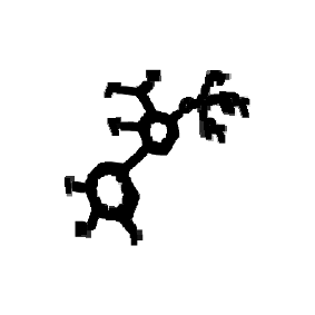 CC(C)[Si](Oc1ccc(-c2cc(F)c(Br)c(F)c2)c(F)c1C(F)F)(C(C)C)C(C)C